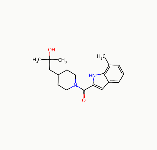 Cc1cccc2cc(C(=O)N3CCC(CC(C)(C)O)CC3)[nH]c12